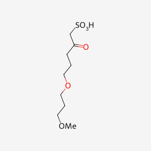 COCCCOCCCC(=O)CS(=O)(=O)O